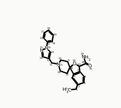 CCc1ccc2c(c1)C1(CCN(Cc3cnn(-c4ccccc4)c3)CC1)OC2C(N)=O